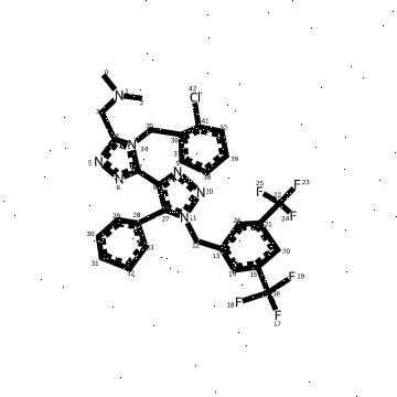 CN(C)Cc1nnc(-c2nnn(Cc3cc(C(F)(F)F)cc(C(F)(F)F)c3)c2-c2ccccc2)n1Cc1ccccc1Cl